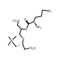 C[N+](C)(C)C[C@@H](CC(=O)O)OCC(CC(=O)O)OC(=O)[C@H](N)CCCN